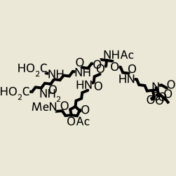 CNCC(=O)C[C@@]1(OC(C)=O)CC(=O)C(CCCCNC(=O)CCOCC(COCCC(=O)NCCCCC(NCC(=O)O)C(=O)C[C@@H](N)CCC(=O)O)(COCCC(=O)NCCCCC2C(=O)OC3(C)OC(=O)CN2CC(=O)O3)NC(C)=O)C1